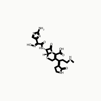 CNCCC(=C1CCNC1=O)C1=C(C(=O)O)N2C(=O)[C@@H](NC(=O)C(=NO)c3csc(N)n3)[C@H]2SC1